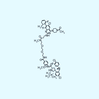 COc1cc(C(=O)NCCOCCOCCN(C)C(=O)CCNc2nc(N3CCN(C(C)=O)CC3)c3cc(Cl)c(C4=C(F)C=CC[C@@H]4C)c(F)c3n2)ccc1NC(=O)[C@@H]1N[C@@H](CC(C)(C)C)[C@](C#N)(c2ccc(Cl)cc2F)[C@H]1c1cccc(Cl)c1F